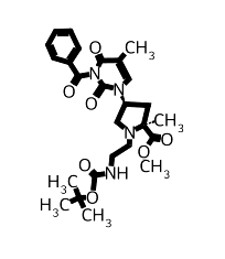 COC(=O)[C@]1(C)C[C@H](n2cc(C)c(=O)n(C(=O)c3ccccc3)c2=O)CN1CCNC(=O)OC(C)(C)C